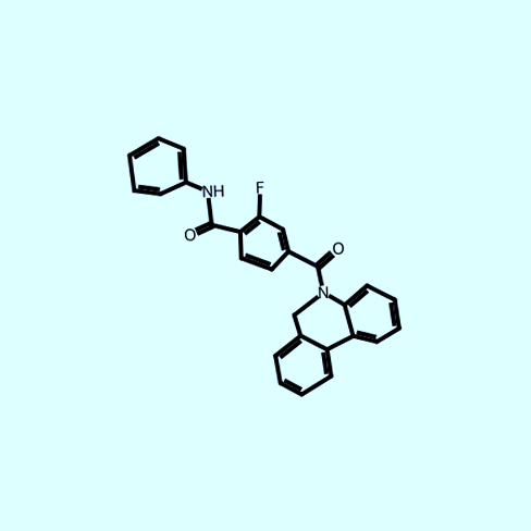 O=C(Nc1ccccc1)c1ccc(C(=O)N2Cc3ccccc3-c3ccccc32)cc1F